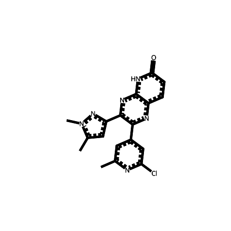 Cc1cc(-c2nc3ccc(=O)[nH]c3nc2-c2cc(C)n(C)n2)cc(Cl)n1